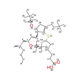 CCCC[C@@H](C)C[C@@H](/C=C/[C@@H]1C(SCCCCCC(=O)O)=C(CCC(C)(C)C)C[C@H]1O[Si](C)(C)C(C)(C)C)O[Si](C)(C)C(C)(C)C